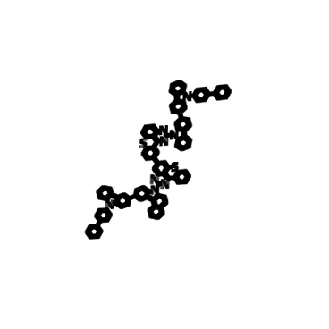 c1ccc(-c2ccc(-n3c4ccccc4c4cc(-c5ccc6c(c5)c5c7ccccc7ccc5n6-c5nc6c7c(cc(-c8ccc9c(c8)-c8nc(-n%10c%11ccccc%11c%11ccc(-c%12ccc%13c%14ccccc%14n(-c%14ccc(-c%15ccccc%15)cc%14)c%13c%12)cc%11%10)nc%10cccc(c8%10)S9)cc7n5)Sc5ccccc5-6)ccc43)cc2)cc1